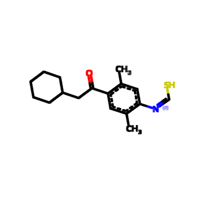 Cc1cc(C(=O)CC2CCCCC2)c(C)cc1/N=C\S